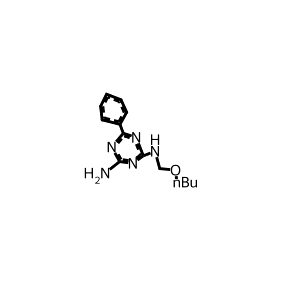 CCCCOCNc1nc(N)nc(-c2ccccc2)n1